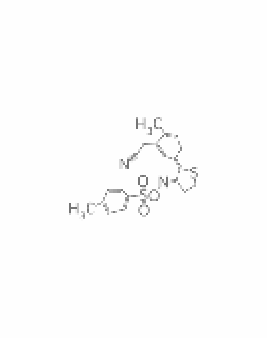 CC1=CCC(=C2SCCC2=NOS(=O)(=O)c2ccc(C)cc2)C=C1CC#N